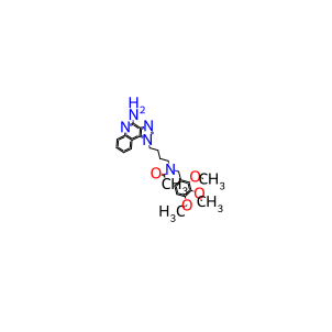 COc1ccc(CN(CCCCn2cnc3c(N)nc4ccccc4c32)C(C)=O)c(OC)c1OC